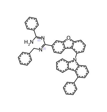 N/C(=N\C(=N/Cc1ccccc1)c1ccc2c(c1)oc1cccc(-n3c4ccccc4c4c(-c5ccccc5)cccc43)c12)c1ccccc1